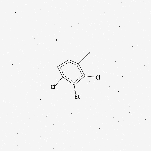 CCc1c(Cl)ccc(C)c1Cl